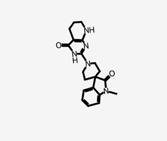 CN1C(=O)C2(CCN(c3nc4c(c(=O)[nH]3)CCCN4)CC2)c2ccccc21